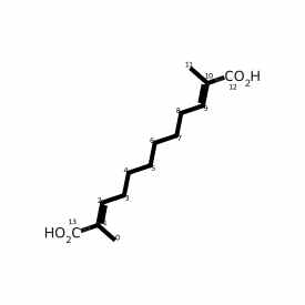 CC(=CCCCCCCC=C(C)C(=O)O)C(=O)O